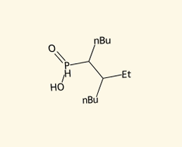 CCCCC(CC)C(CCCC)[PH](=O)O